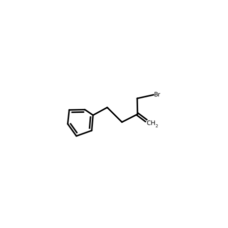 C=C(CBr)CCc1ccccc1